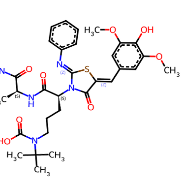 COc1cc(/C=C2\S/C(=N\c3ccccc3)N([C@@H](CCCN(C(=O)O)C(C)(C)C)C(=O)N[C@@H](C)C(N)=O)C2=O)cc(OC)c1O